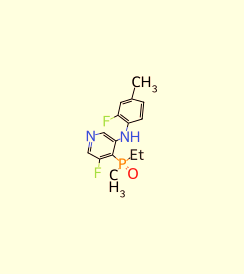 CCP(C)(=O)c1c(F)cncc1Nc1ccc(C)cc1F